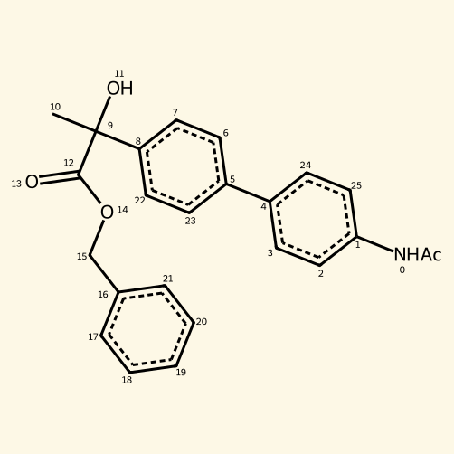 CC(=O)Nc1ccc(-c2ccc(C(C)(O)C(=O)OCc3ccccc3)cc2)cc1